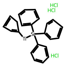 C1=CC[C]([Ti][Si](c2ccccc2)(c2ccccc2)c2ccccc2)=C1.Cl.Cl.Cl